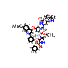 C=C[C@@H]1C[C@]1(NC(=O)[C@@H]1C[C@@H](Oc2cc(-c3ccccc3)nc3cc(OC)ccc23)CN1C(=O)[C@H](CCNC(=O)CC)NC(=O)OC(C)(C)C)C(=O)NS(=O)(=O)c1ccccc1